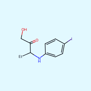 CCC(Nc1ccc(I)cc1)C(=O)CO